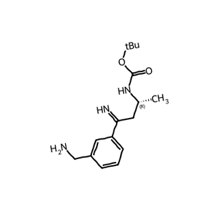 C[C@H](CC(=N)c1cccc(CN)c1)NC(=O)OC(C)(C)C